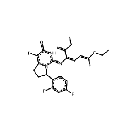 C=C(CC)C(=C\C=C(/C)OCC)/N=c1\[nH]c(=O)c(F)c2n1C(c1ccc(F)cc1F)CC2